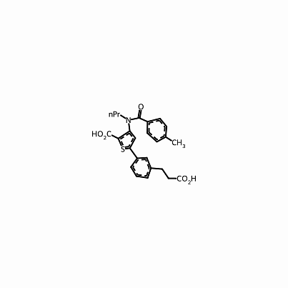 CCCN(C(=O)c1ccc(C)cc1)c1cc(-c2cccc(CCC(=O)O)c2)sc1C(=O)O